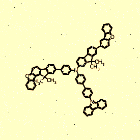 CC1(C)c2cc(-c3ccc4oc5ccccc5c4c3)ccc2-c2ccc(N(c3ccc(-c4ccc(-n5c6ccccc6c6ccccc65)cc4)cc3)c3ccc(-c4ccc5c(c4)C(C)(C)c4c-5ccc5oc6ccccc6c45)cc3)cc21